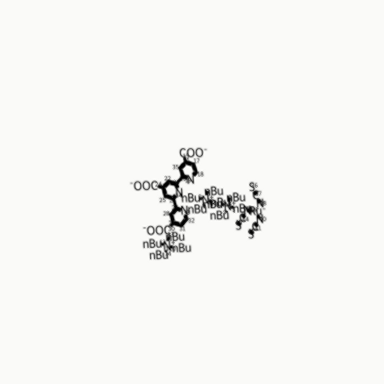 CCCC[N+](CCCC)(CCCC)CCCC.CCCC[N+](CCCC)(CCCC)CCCC.CCCC[N+](CCCC)(CCCC)CCCC.O=C([O-])c1ccnc(-c2cc(C(=O)[O-])cc(-c3cc(C(=O)[O-])ccn3)n2)c1.S=C=[N][Ru-]([N]=C=S)[N]=C=S